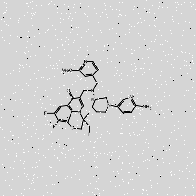 COc1cc(CN(Cc2cn3c4c(c(F)c(F)cc4c2=O)OCC3(C)CF)[C@H]2CCCN(c3ccc(N)nc3)C2)ccn1